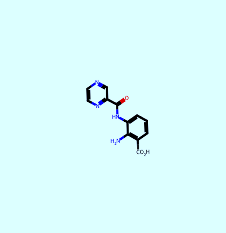 Nc1c(NC(=O)c2cnccn2)cccc1C(=O)O